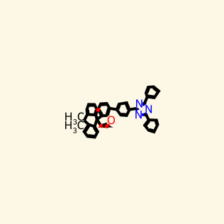 CC1(C)c2ccccc2C2(c3ccccc3Oc3c(-c4ccc(-c5nc(-c6ccccc6)nc(-c6ccccc6)n5)cc4)cccc32)c2ccccc21